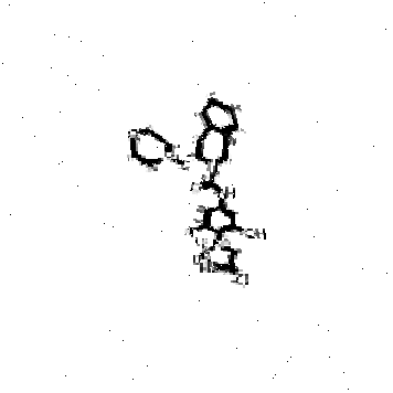 O=C1CN(c2c(O)cc(NC(=O)N3Cc4ccccc4C[C@H]3CN3CCOCC3)cc2F)S(=O)(=O)N1